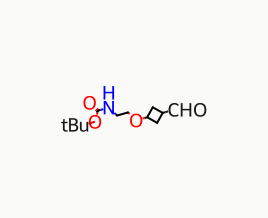 CC(C)(C)OC(=O)NCCOC1CC(C=O)C1